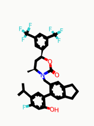 CC(C)c1cc(-c2cc3c(cc2CN2C(=O)O[C@H](c4cc(C(F)(F)F)cc(C(F)(F)F)c4)C[C@@H]2C)CCC3)c(O)cc1F